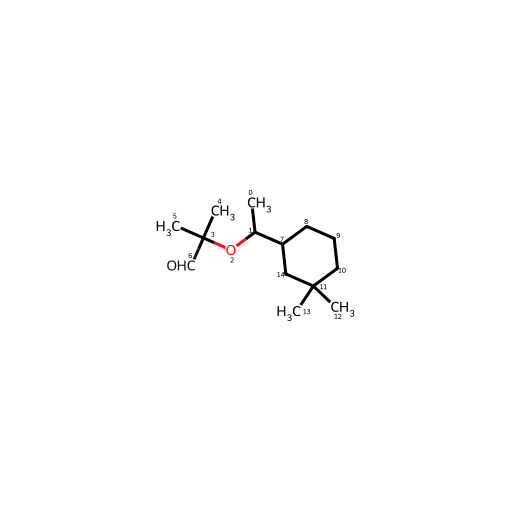 CC(OC(C)(C)C=O)C1CCCC(C)(C)C1